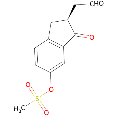 CS(=O)(=O)Oc1ccc2c(c1)C(=O)[C@H](CC=O)C2